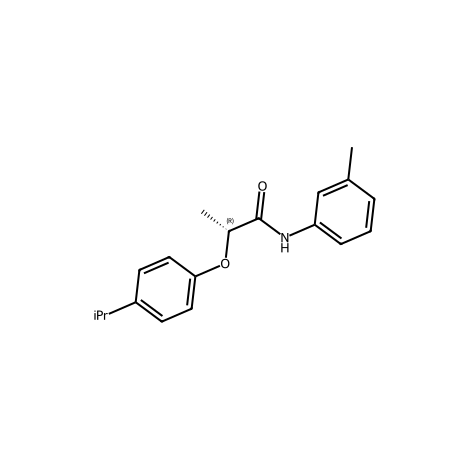 Cc1cccc(NC(=O)[C@@H](C)Oc2ccc(C(C)C)cc2)c1